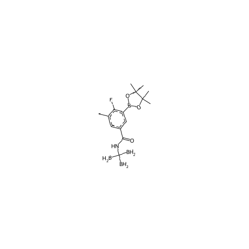 BC(B)(B)NC(=O)c1cc(C)c(F)c(B2OC(C)(C)C(C)(C)O2)c1